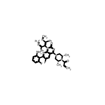 C=CC(=O)N1[C@H](C)CN(c2nc(=O)n(C(/C(=N\C)C(C)C)=C(/N=C)C(C)C)c3nc(-c4c(N)cccc4F)c(F)cc23)C[C@@H]1C